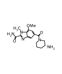 COc1cc(C(=O)N2CCC[C@@H](N)C2)cc2nc(C(N)=O)n(C)c12